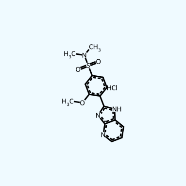 COc1cc(S(=O)(=O)N(C)C)ccc1-c1nc2ncccc2[nH]1.Cl